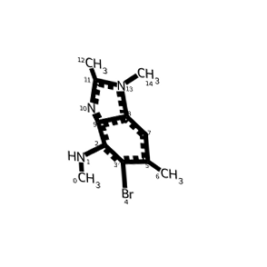 CNc1c(Br)c(C)cc2c1nc(C)n2C